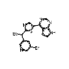 CCC(c1cncc(Br)c1)c1ncc(-c2ncnc3[nH]ccc23)s1